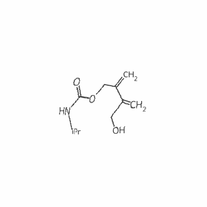 C=C(CO)C(=C)COC(=O)NC(C)C